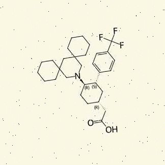 O=C(O)C[C@@H]1CC[C@@H](N2CC3(CCCCC3)CC3(CCCCC3)C2)[C@H](c2ccc(C(F)(F)F)cc2)C1